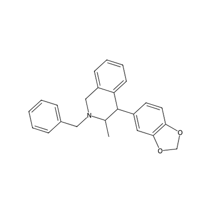 CC1C(c2ccc3c(c2)OCO3)c2ccccc2CN1Cc1ccccc1